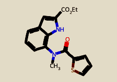 CCOC(=O)c1cc2cccc(N(C)C(=O)c3cccs3)c2[nH]1